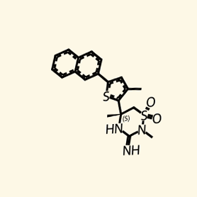 Cc1cc(-c2ccc3ccccc3c2)sc1[C@]1(C)CS(=O)(=O)N(C)C(=N)N1